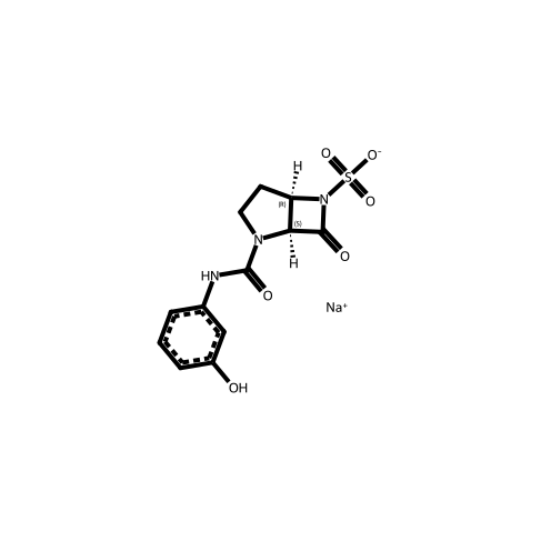 O=C(Nc1cccc(O)c1)N1CC[C@@H]2[C@H]1C(=O)N2S(=O)(=O)[O-].[Na+]